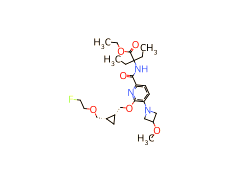 CCOC(=O)C(CC)(CC)NC(=O)c1ccc(N2CC(OC)C2)c(OC[C@@H]2C[C@@H]2COCCF)n1